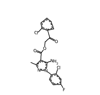 Cc1nn(-c2ccc(F)cc2Cl)c(N)c1C(=O)OCC(=O)c1ccccc1Cl